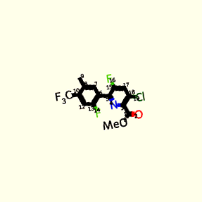 COC(=O)c1nc(-c2cc(C)c(C(F)(F)F)cc2F)c(F)cc1Cl